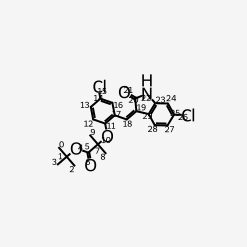 CC(C)(C)OC(=O)C(C)(C)Oc1ccc(Cl)cc1C=C1C(=O)Nc2cc(Cl)ccc21